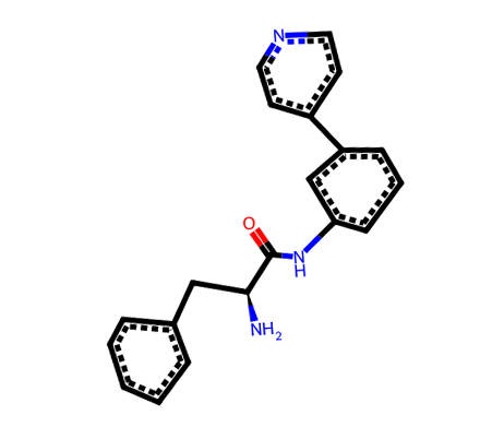 N[C@@H](Cc1ccccc1)C(=O)Nc1cccc(-c2ccncc2)c1